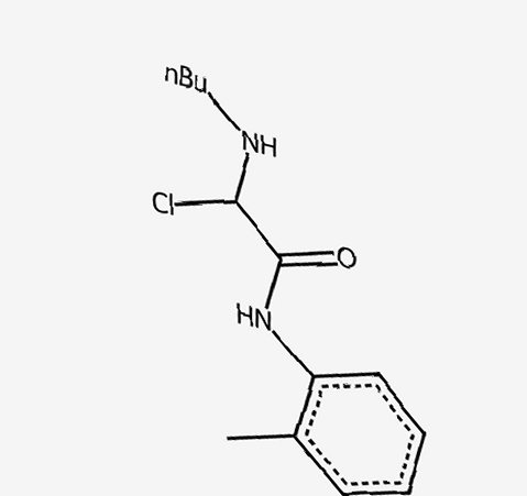 CCCCNC(Cl)C(=O)Nc1ccccc1C